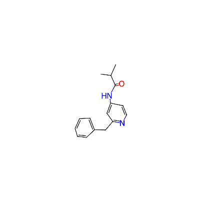 CC(C)C(=O)Nc1ccnc(Cc2ccccc2)c1